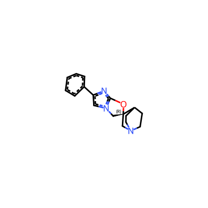 c1ccc(-c2cn3c(n2)O[C@]2(CN4CCC2CC4)C3)cc1